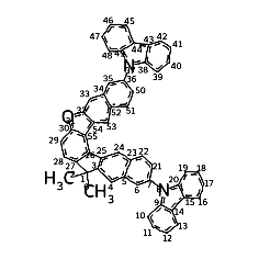 CC1(C)c2cc3cc(-n4c5ccccc5c5ccccc54)ccc3cc2-c2c1ccc1oc3cc4cc(-n5c6ccccc6c6ccccc65)ccc4cc3c21